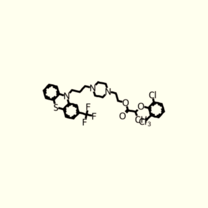 CC(Oc1c(Cl)cccc1Cl)C(=O)OCCN1CCN(CCCN2c3ccccc3Sc3ccc(C(F)(F)F)cc32)CC1